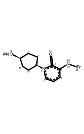 CO[C@H]1CC[C@@H](n2cccc(NC(C)C)c2=O)CC1